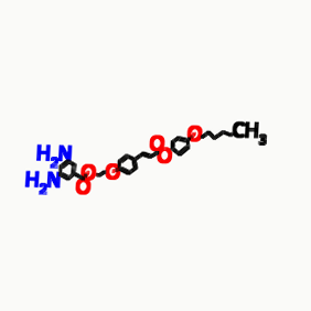 CCCCCCOc1ccc(OC(=O)C=Cc2ccc(OCCOC(=O)c3cc(N)cc(N)c3)cc2)cc1